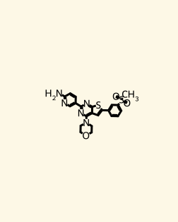 CS(=O)(=O)c1cccc(-c2cc3c(N4CCOCC4)nc(-c4ccc(N)nc4)nc3s2)c1